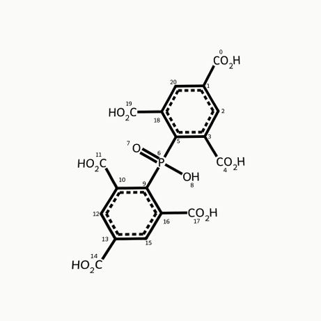 O=C(O)c1cc(C(=O)O)c(P(=O)(O)c2c(C(=O)O)cc(C(=O)O)cc2C(=O)O)c(C(=O)O)c1